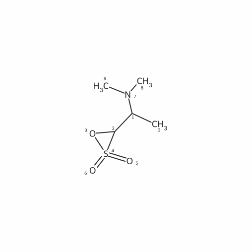 CC(C1OS1(=O)=O)N(C)C